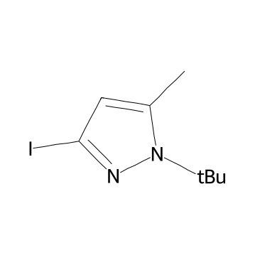 Cc1cc(I)nn1C(C)(C)C